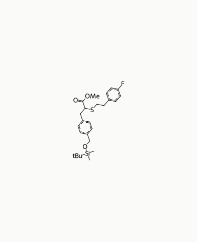 COC(=O)C(Cc1ccc(CO[Si](C)(C)C(C)(C)C)cc1)SCCc1ccc(F)cc1